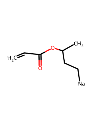 C=CC(=O)OC(C)C[CH2][Na]